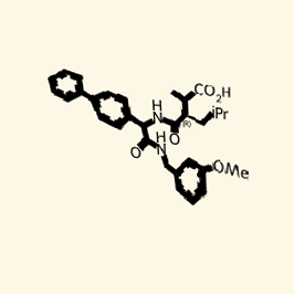 COc1cccc(CNC(=O)C(NC(=O)[C@H](CC(C)C)C(C)C(=O)O)c2ccc(-c3ccccc3)cc2)c1